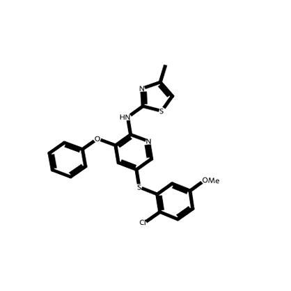 COc1ccc(Cl)c(Sc2cnc(Nc3nc(C)cs3)c(Oc3ccccc3)c2)c1